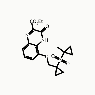 CCOC(=O)c1nc2cccc(OCC3(S(=O)(=O)C4(C)CC4)CC3)c2[nH]c1=O